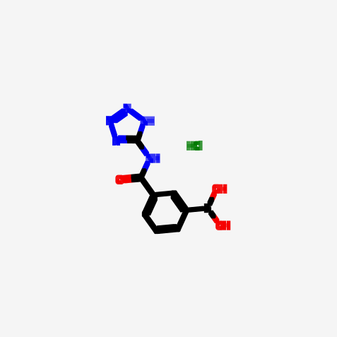 Cl.O=C(Nc1nnn[nH]1)c1cccc(B(O)O)c1